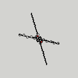 CCCCCCCCCCCCCCCCCCOC(=O)c1ccc(C(=O)OCCOCCOCCOCCOC)c2c(C(=O)OCCCCCCCCCCCCCCCCCC)ccc(C(=O)OCCOCCOCCOCCOC)c12